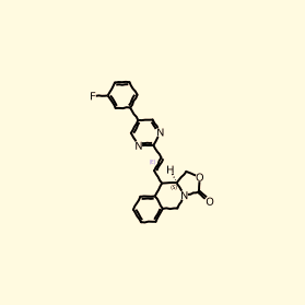 O=C1OC[C@@H]2C(/C=C/c3ncc(-c4cccc(F)c4)cn3)c3ccccc3CN12